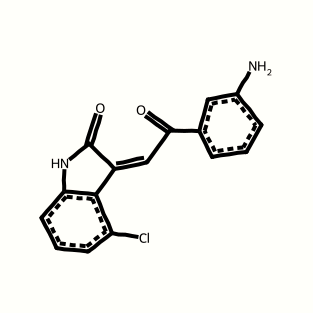 Nc1cccc(C(=O)C=C2C(=O)Nc3cccc(Cl)c32)c1